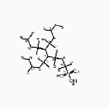 CCC(C)CC(C)(C)C(C(C(C)(C)CC(C)CC)C(C)(C)CC(C)(C)S(=O)(=O)O)C(C)(C)CC(C)C